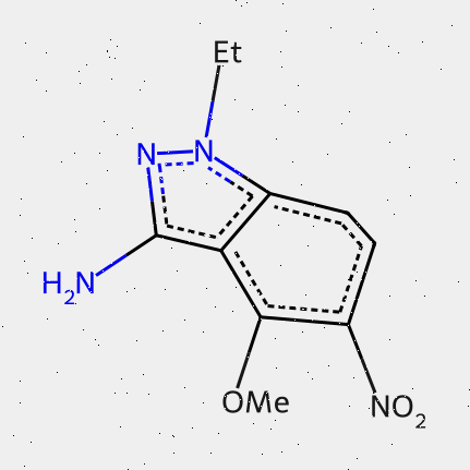 CCn1nc(N)c2c(OC)c([N+](=O)[O-])ccc21